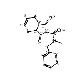 CN(Cc1ccccc1)C(=O)N1C(=O)C2CC=CCC2C1=O